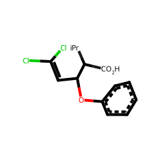 CC(C)C(C(=O)O)C(C=C(Cl)Cl)Oc1ccccc1